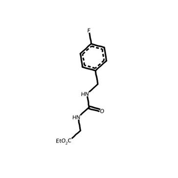 CCOC(=O)CNC(=O)NCc1ccc(F)cc1